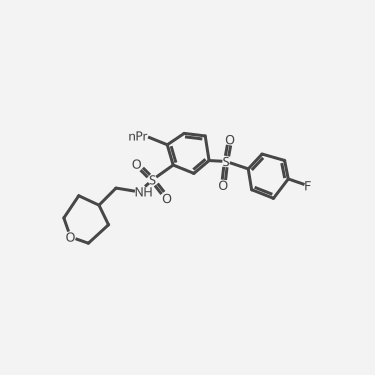 CCCc1ccc(S(=O)(=O)c2ccc(F)cc2)cc1S(=O)(=O)NCC1CCOCC1